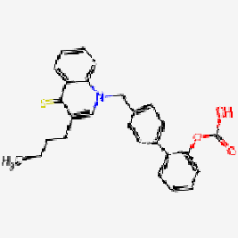 CCCCc1cn(Cc2ccc(-c3ccccc3OC(=O)O)cc2)c2ccccc2c1=S